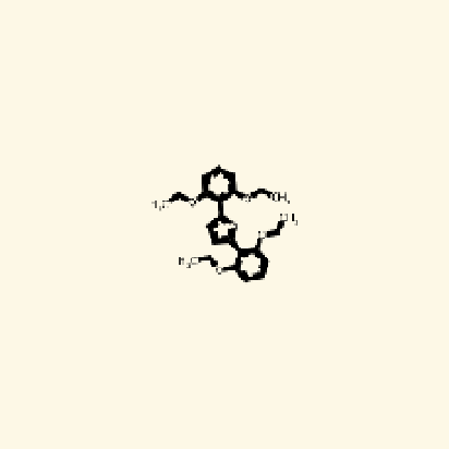 CCOc1cccc(OCC)c1-c1ccc(-c2c(OCC)cccc2OCC)s1